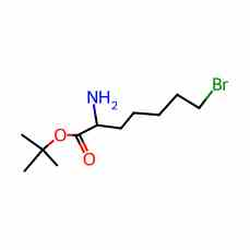 CC(C)(C)OC(=O)C(N)CCCCCBr